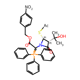 CC(=O)S[C@@H]1[C@H](C(C)(C)O)C(=O)N1C(C(=O)OCc1ccc([N+](=O)[O-])cc1)=P(c1ccccc1)(c1ccccc1)c1ccccc1